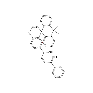 CC1(C)c2ccccc2C2(c3ccccc3Sc3ccc(C(=N)/C=C\C(=N)c4ccccc4)cc32)c2ccccc21